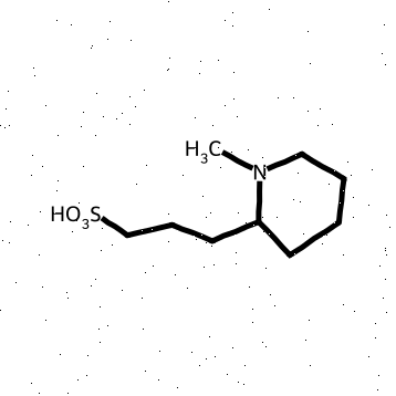 CN1CCCCC1CCCS(=O)(=O)O